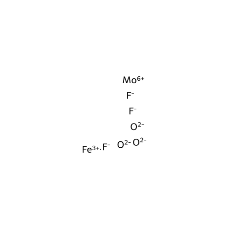 [F-].[F-].[F-].[Fe+3].[Mo+6].[O-2].[O-2].[O-2]